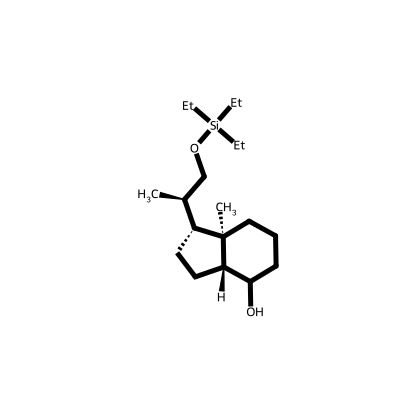 CC[Si](CC)(CC)OC[C@H](C)[C@H]1CC[C@H]2C(O)CCC[C@]12C